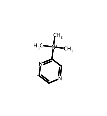 C[N+](C)(C)c1cnc[c]n1